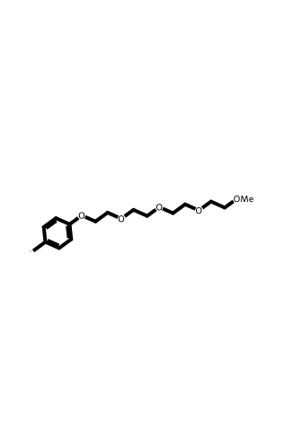 [CH2]c1ccc(OCCOCCOCCOCCOC)cc1